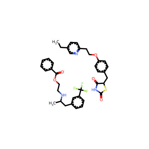 CC(Cc1cccc(C(F)(F)F)c1)NCCOC(=O)c1ccccc1.CCc1ccc(CCOc2ccc(CC3SC(=O)NC3=O)cc2)nc1